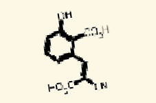 N#CC(=Cc1cccc(O)c1C(=O)O)C(=O)O